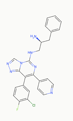 N[C@H](CNc1nc(-c2ccncc2)c(-c2ccc(F)c(Cl)c2)c2nncn12)Cc1ccccc1